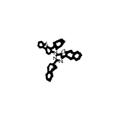 c1ccc2cc(-c3nc(-n4c5ccccc5c5c6sc7ccccc7c6ccc54)c4oc5cc6ccccc6cc5c4n3)ccc2c1